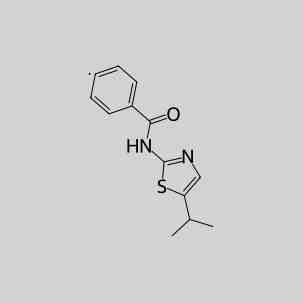 CC(C)c1cnc(NC(=O)c2cc[c]cc2)s1